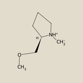 [CH2-][NH+]1CCC[C@@H]1COC